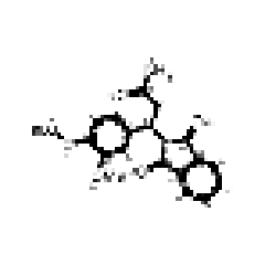 CCCCOc1ccc(C(CC(N)=O)N2C(=O)c3ccccc3C2=O)cc1OC